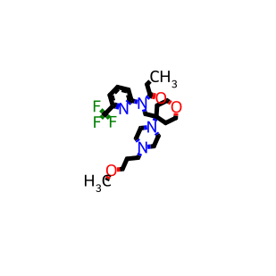 CCC(=O)N(CC1(N2CCN(CCCOC)CC2)CCOCC1)c1cccc(C(F)(F)F)n1